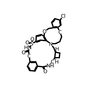 O=C1Cc2cccc(c2)C(=O)NC[C@@H]2CC[C@H]2CN2CCCCc3cc(Cl)ccc3COc3ccc(cc32)S(=O)(=O)N1